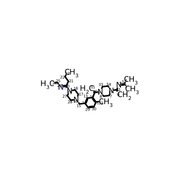 C=C(N=C(C)C)N1CCN(C(=C)c2cc(CN3CCN(/C(CCC)=N/CC)CC3)ccc2C)CC1